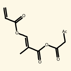 C=CC(=O)OC=C(C)C(=O)OC(=O)CC(C)=O